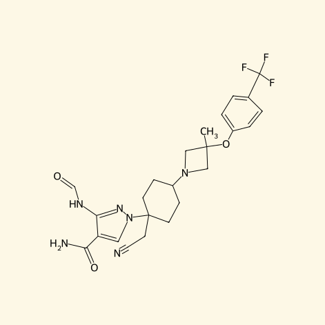 CC1(Oc2ccc(C(F)(F)F)cc2)CN(C2CCC(CC#N)(n3cc(C(N)=O)c(NC=O)n3)CC2)C1